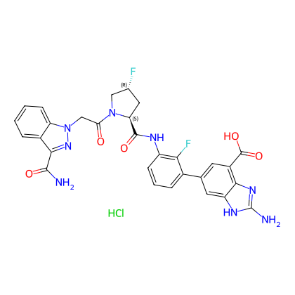 Cl.NC(=O)c1nn(CC(=O)N2C[C@H](F)C[C@H]2C(=O)Nc2cccc(-c3cc(C(=O)O)c4nc(N)[nH]c4c3)c2F)c2ccccc12